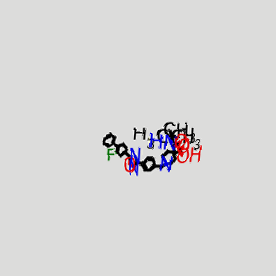 CC(C)(C)NC(=O)C1(C(=O)O)CCN(Cc2ccc(-c3noc(-c4ccc(-c5ccccc5)c(F)c4)n3)cc2)CC1